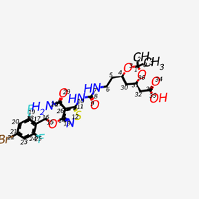 CC1(C)O[C@H](CCNC(=O)Nc2snc(OCc3c(F)cc(Br)cc3F)c2C(N)=O)C[C@H](CC(=O)O)O1